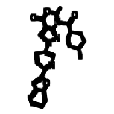 CC1CCC(C(=O)N2c3nn(-c4ccc(-c5cc6ccccc6o5)nc4)cc3C(=O)OC2C)CC1